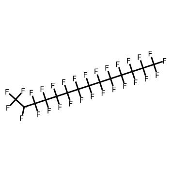 F[C](C(F)(F)F)C(F)(F)C(F)(F)C(F)(F)C(F)(F)C(F)(F)C(F)(F)C(F)(F)C(F)(F)C(F)(F)C(F)(F)C(F)(F)C(F)(F)F